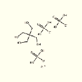 O=P([O-])(O)O.O=P([O-])(O)O.O=P([O-])(O)O.OCC(CO)(CO)CO.[Al+3]